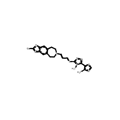 CCc1nc2cc3c(cc2o1)CCN(CCCSc1nnc(-c2ocnc2C)n1C)CC3